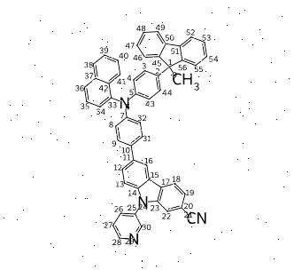 CC1(c2ccc(N(c3ccc(-c4ccc5c(c4)c4ccc(C#N)cc4n5-c4cccnc4)cc3)c3cccc4ccccc34)cc2)c2ccccc2-c2ccccc21